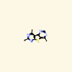 Cc1nc(C)c2c(n1)sc1c(C)ncnc12